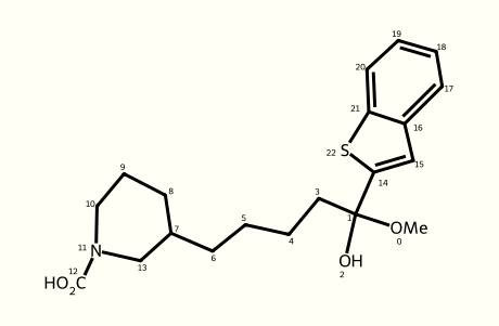 COC(O)(CCCCC1CCCN(C(=O)O)C1)c1cc2ccccc2s1